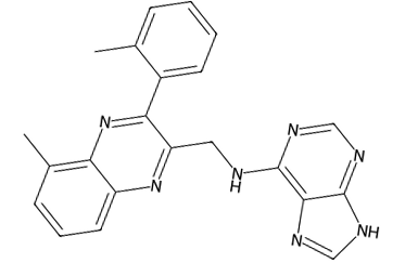 Cc1ccccc1-c1nc2c(C)cccc2nc1CNc1ncnc2[nH]cnc12